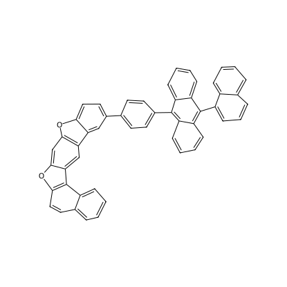 c1ccc2c(-c3c4ccccc4c(-c4ccc(-c5ccc6oc7cc8oc9ccc%10ccccc%10c9c8cc7c6c5)cc4)c4ccccc34)cccc2c1